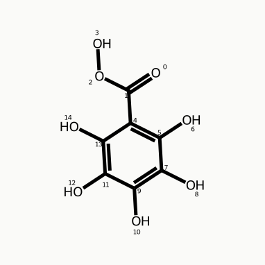 O=C(OO)c1c(O)c(O)c(O)c(O)c1O